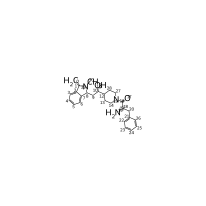 C=C1c2ccccc2C(CC(O)C2CCN(C(=O)[C@@H](N)Cc3ccccc3)CC2)N1C